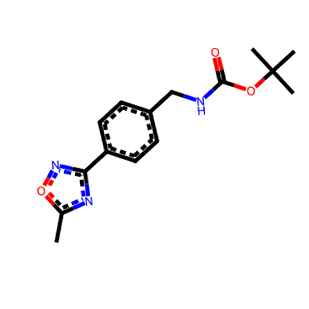 Cc1nc(-c2ccc(CNC(=O)OC(C)(C)C)cc2)no1